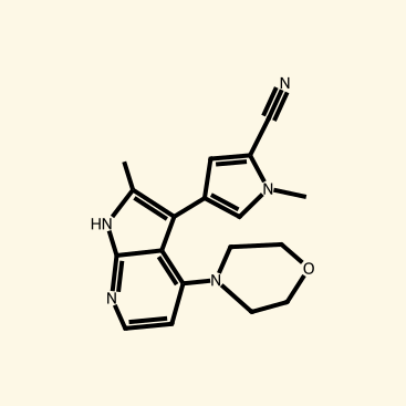 Cc1[nH]c2nccc(N3CCOCC3)c2c1-c1cc(C#N)n(C)c1